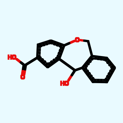 O=C(O)c1ccc2c(c1)C(O)c1ccccc1CO2